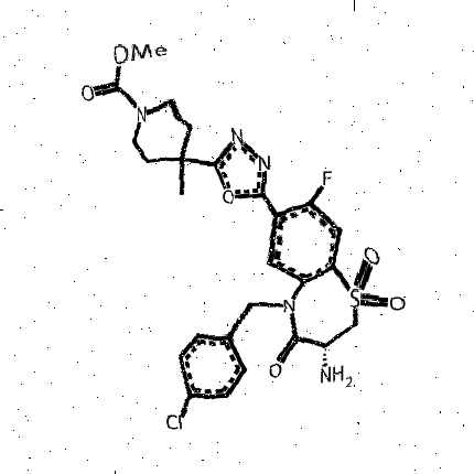 COC(=O)N1CCC(C)(c2nnc(-c3cc4c(cc3F)S(=O)(=O)C[C@H](N)C(=O)N4Cc3ccc(Cl)cc3)o2)CC1